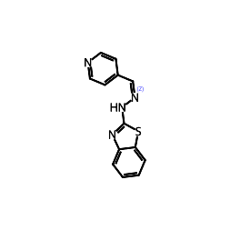 C(=N/Nc1nc2ccccc2s1)/c1ccncc1